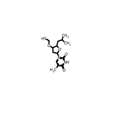 Cc1cn(C2CC(OCS)C(CC(C)C)O2)c(=O)[nH]c1=O